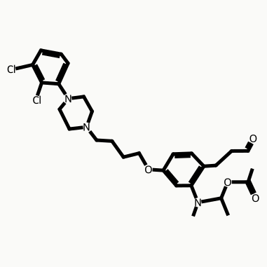 CC(=O)OC(C)N(C)c1cc(OCCCCN2CCN(c3cccc(Cl)c3Cl)CC2)ccc1CCC=O